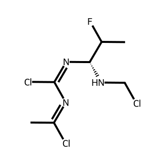 C/C(Cl)=N\C(Cl)=N/[C@@H](NCCl)C(C)F